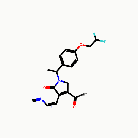 C=N/C=C\C1=C(C(=O)C(C)C)CN(C(C)c2ccc(OCC(F)F)cc2)C1=O